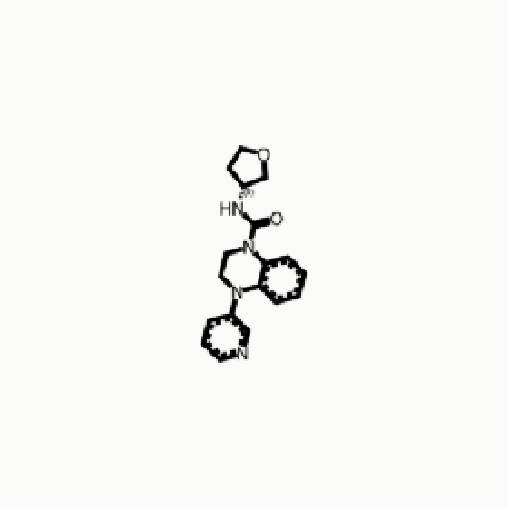 O=C(N[C@@H]1CCOC1)N1CCN(c2cccnc2)c2ccccc21